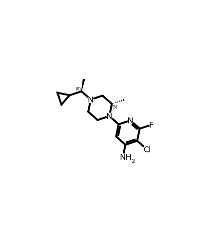 C[C@H](C1CC1)N1CCN(c2cc(N)c(Cl)c(F)n2)[C@@H](C)C1